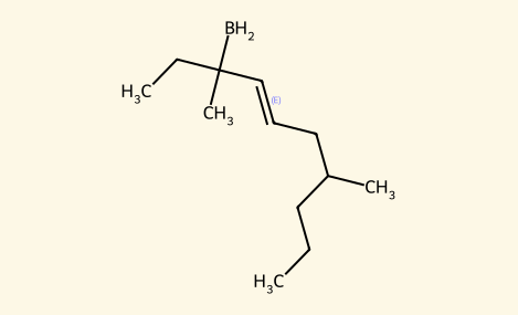 BC(C)(/C=C/CC(C)CCC)CC